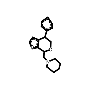 c1ccc(C2COC(CN3CCCCC3)c3sccc32)cc1